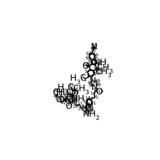 CCc1cc2c(cc1N1CCN(C(=O)CCc3ccc4c(c3)nc(N)n4CCC[C@H](NC(=O)OC(C)(C)C)C(=O)N[C@@H]3CCN(CC)C3)CC1)C(C)(C)c1[nH]c3cc(C#N)ccc3c1C2=O